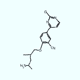 CC(N)CC(C)COc1ccc(-c2ccnc(Cl)n2)cc1C#N